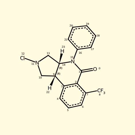 O=C1c2c(cccc2C(F)(F)F)[C@@H]2CN(Cl)C[C@@H]2N1c1ccccc1